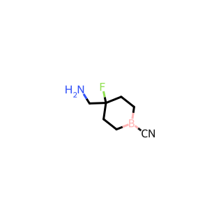 N#CB1CCC(F)(CN)CC1